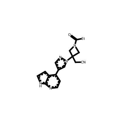 CCC(=O)N1CC(CC#N)(n2cc(-c3ccnc4[nH]ccc34)cn2)C1